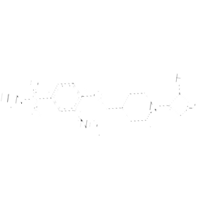 NS(=O)(=O)c1ccc(OCC2CCN(C3COC3F)CC2)c([N+](=O)[O-])c1